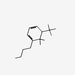 [2H]C1([2H])C(CCCO)=CC=CC1C(F)(F)F